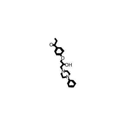 CCC(=O)c1ccc(OCC(O)CN2CCN(c3ccccc3)CC2)cc1